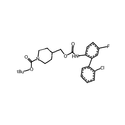 CC(C)(C)OC(=O)N1CCC(COC(=O)Nc2ccc(F)cc2-c2ccccc2Cl)CC1